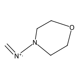 C=[N+]N1CCOCC1